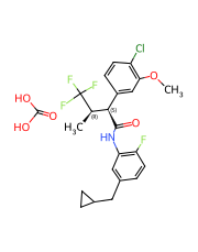 COc1cc([C@@H](C(=O)Nc2cc(CC3CC3)ccc2F)[C@@H](C)C(F)(F)F)ccc1Cl.O=C(O)O